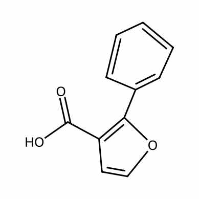 O=C(O)c1ccoc1-c1ccccc1